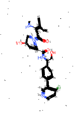 CN[C@H](C(=O)N1C[C@H](O)C[C@H]1C(=O)N[C@@H](CO)c1ccc(-c2cnccc2Cl)cc1)C(C)C